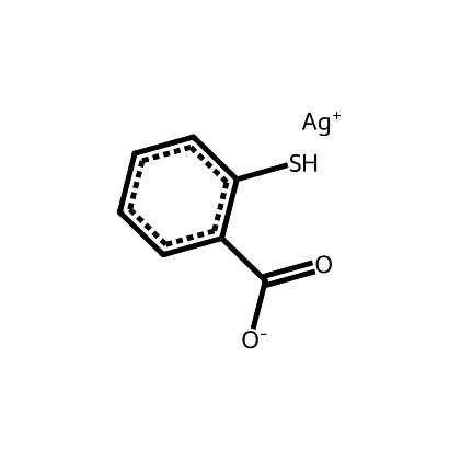 O=C([O-])c1ccccc1S.[Ag+]